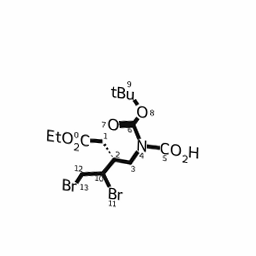 CCOC(=O)C[C@H](CN(C(=O)O)C(=O)OC(C)(C)C)C(Br)CBr